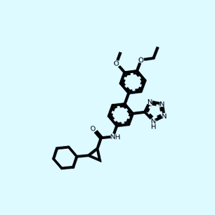 CCOc1ccc(-c2ccc(NC(=O)C3CC3C3CCCCC3)cc2-c2nnn[nH]2)cc1OC